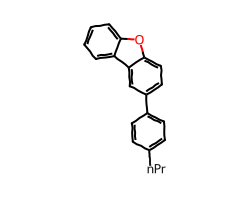 CCCc1ccc(-c2ccc3oc4ccccc4c3c2)cc1